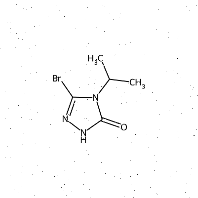 CC(C)n1c(Br)n[nH]c1=O